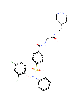 O=C(CNC(=O)c1ccc(S(=O)(=O)N(Oc2ccc(Cl)cc2Cl)c2ccccc2)cc1)NCC1CCNCC1